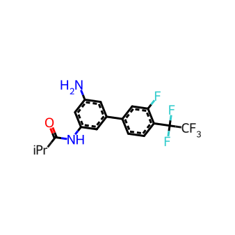 CC(C)C(=O)Nc1cc(N)cc(-c2ccc(C(F)(F)C(F)(F)F)c(F)c2)c1